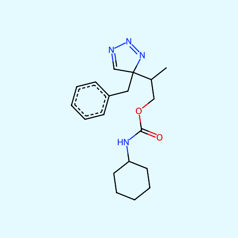 CC(COC(=O)NC1CCCCC1)C1(Cc2ccccc2)C=NN=N1